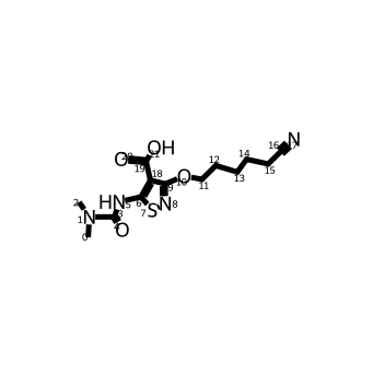 CN(C)C(=O)Nc1snc(OCCCCCC#N)c1C(=O)O